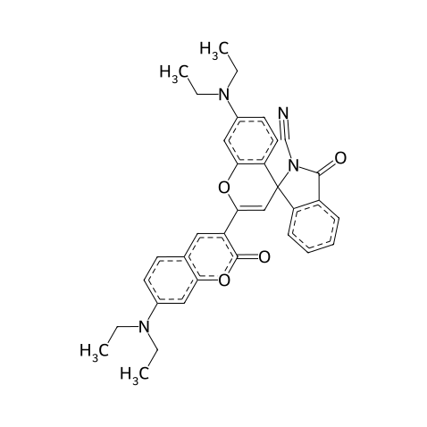 CCN(CC)c1ccc2c(c1)OC(c1cc3ccc(N(CC)CC)cc3oc1=O)=CC21c2ccccc2C(=O)N1C#N